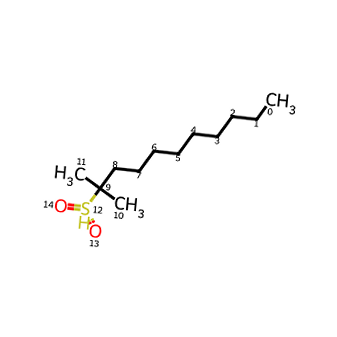 CCCCCCCCCC(C)(C)[SH](=O)=O